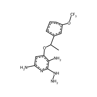 CC(Oc1cc(N)nc(NN)c1N)c1cccc(OC(F)(F)F)c1